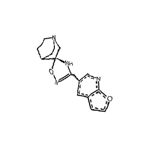 c1cc2cc(C3=NO[C@]4(CN5CCC4CC5)N3)cnc2o1